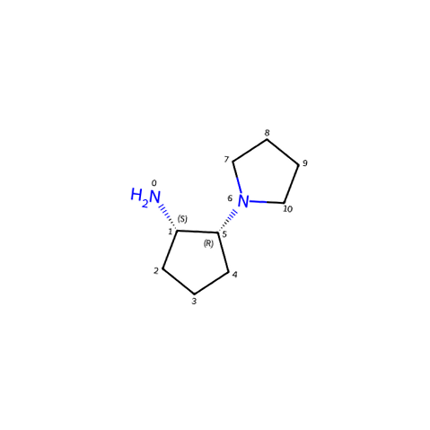 N[C@H]1CCC[C@H]1N1CCCC1